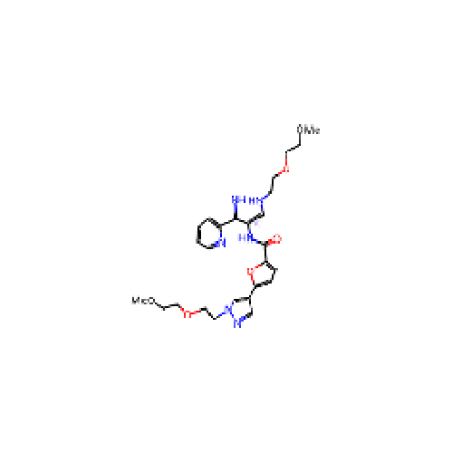 COCCOCCN/C=C(/NC(=O)c1ccc(-c2cnn(CCOCCOC)c2)o1)C(=N)c1ccccn1